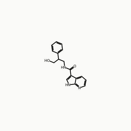 O=C(NCC(CO)c1ccccc1)c1c[nH]c2ncccc12